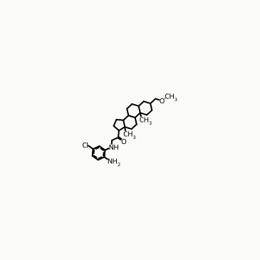 COCC1CCC2(C)C(CCC3C2CCC2(C)C(C(=O)CNc4cc(Cl)ccc4N)CCC32)C1